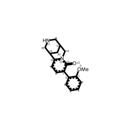 COc1ccccc1-c1ccc2n(c1=O)CC1CNCC2C1